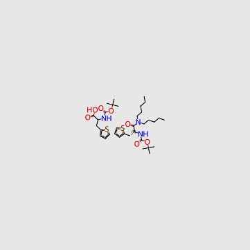 CC(C)(C)OC(=O)NC(Cc1cccs1)C(=O)O.CCCCCN(CCCCC)C(=O)[C@@H](Cc1cccs1)NC(=O)OC(C)(C)C